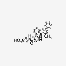 Cc1sc(-c2ccccc2)cc1C(Nc1ccc(C(=O)NCCC(=O)O)nc1)C1CCCCC1